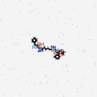 CN1N=C(CCCCc2nnc(NC(=O)C3(c4ccccc4)COC(C)(C)O3)s2)SC1NC(O)Cc1ccccc1